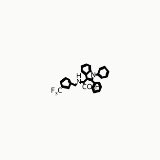 O=C(O)C(NCc1cccc(C(F)(F)F)c1)c1c(-c2ccccc2)n(-c2ccccc2)c2ccccc12